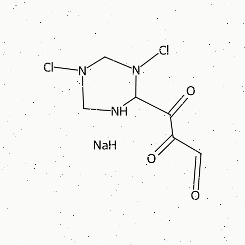 O=CC(=O)C(=O)C1NCN(Cl)CN1Cl.[NaH]